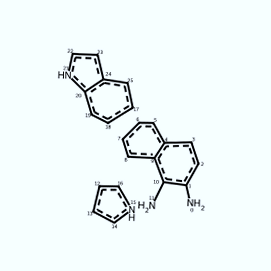 Nc1ccc2ccccc2c1N.c1cc[nH]c1.c1ccc2[nH]ccc2c1